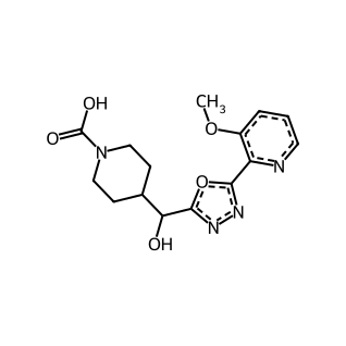 COc1cccnc1-c1nnc(C(O)C2CCN(C(=O)O)CC2)o1